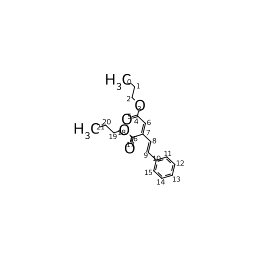 CCCOC(=O)C=C(C=Cc1ccccc1)C(=O)OCCC